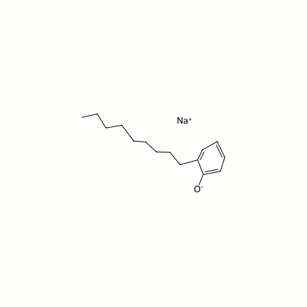 CCCCCCCCCc1ccccc1[O-].[Na+]